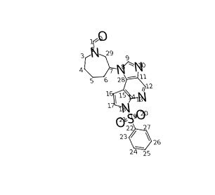 O=CN1CCCCC(n2cnc3cnc4c(ccn4S(=O)(=O)c4ccccc4)c32)C1